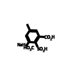 Cc1cc(C(=O)O)c(S(=O)(=O)O)c(C(=O)O)c1.[NaH]